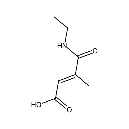 CCNC(=O)C(C)=CC(=O)O